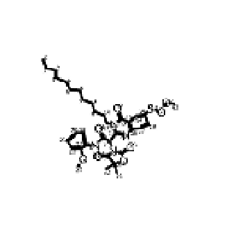 CCCCCCCCCCCCn1c(C(C(=O)Nc2ccccc2OC)N2C(=O)OC(C)(C)C2=O)nc2ccc(SOOC)cc2c1=O